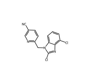 N#Cc1ccc(Cn2c(Cl)nc3c(Cl)cccc32)nc1